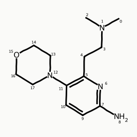 CN(C)CCc1nc(N)ccc1N1CCOCC1